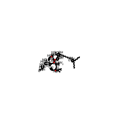 CCCCCCc1ccc(NC(=O)NCCCCCCNCc2c(O)cc3c(c2O)-c2cc(ccc2O)[C@H]2CC(=O)[C@@H]4NC(=O)[C@H](CC(N)=O)CC(=O)[C@H](NC(=O)[C@H](CC)CC(C)C)[C@H](O)c5ccc(c(Cl)c5)Oc5cc4cc(c5O[C@@H]4O[C@H](CO)[C@@H](O)[C@H](O)[C@H]4O[C@H]4C[C@]5(C)NC(=O)O[C@@H]5[C@H](C)O4)Oc4ccc(cc4Cl)[C@@H](O)[C@H](NC2=O)C(=O)N[C@@H]3C(=O)O)cc1CCCCCC